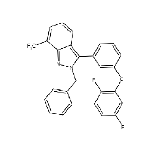 Fc1ccc(F)c(Oc2cccc(-c3c4cccc(C(F)(F)F)c4nn3Cc3ccccc3)c2)c1